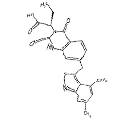 CC[C@H](C(=O)O)n1c(=O)[nH]c2cc(Cc3snc4cc(C)cc(C)c34)ccc2c1=O